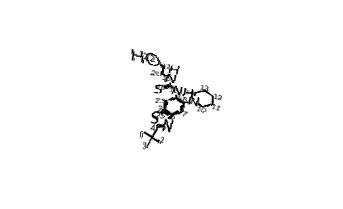 CC(C)(C)c1nc2cc(N3CCCCC3)c(NC(=S)NCCO)cc2s1